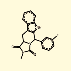 CN1C(=O)C2Cc3c([nH]c4ccccc34)C(c3cccc(F)c3)N2C1=S